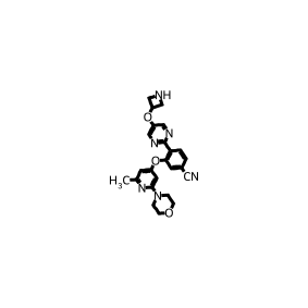 Cc1cc(Oc2cc(C#N)ccc2-c2ncc(OC3CNC3)cn2)cc(N2CCOCC2)n1